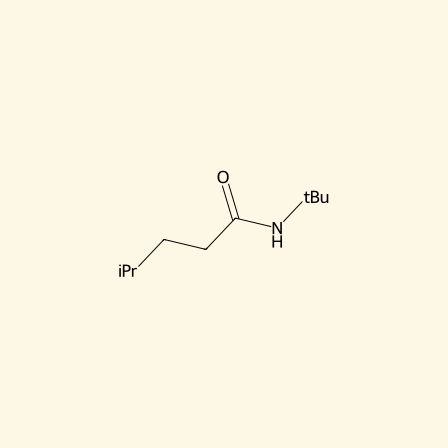 CC(C)CCC(=O)NC(C)(C)C